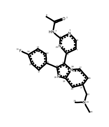 CC(=O)Nc1nccc(-c2c(-c3ccc(F)cc3)nc3cc(CN(C)C)ccn23)n1